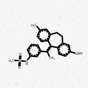 COc1ccc2c(c1)CCc1cc(C)ccc1/C2=C(/C)c1cccc(NS(C)(=O)=O)c1